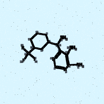 Nc1ncnc(N(N)C2CCCC(C(F)(F)F)C2)c1N